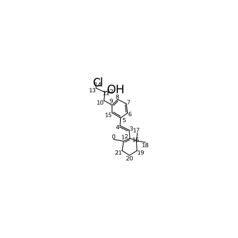 CC1=C(/C=C/c2cccc(CC(O)CCl)c2)C(C)(C)CCC1